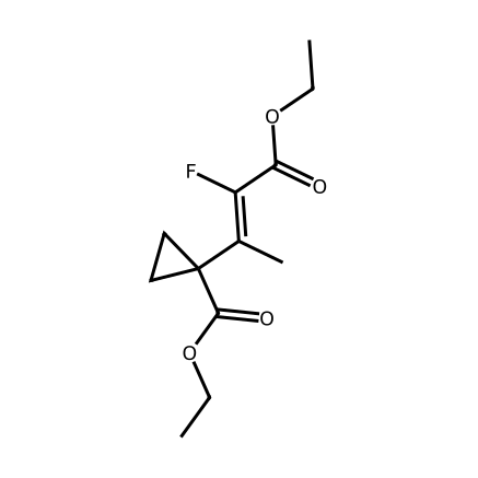 CCOC(=O)C(F)=C(C)C1(C(=O)OCC)CC1